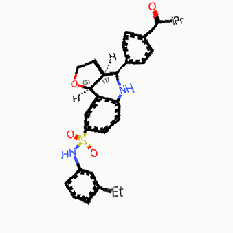 CCc1cccc(NS(=O)(=O)c2ccc3c(c2)[C@H]2OCC[C@H]2C(c2ccc(C(=O)C(C)C)cc2)N3)c1